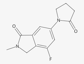 CN1Cc2c(F)cc(N3CCCC3=O)cc2C1=O